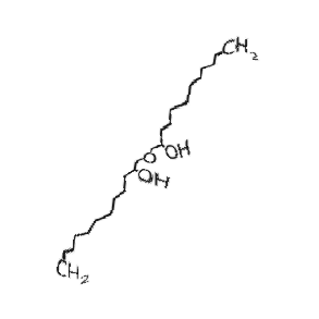 C=CCCCCCCCCC(O)COCC(O)CCCCCCCCC=C